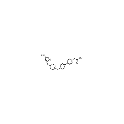 CC(C)C(=O)Cc1ccc(-c2ccc(CN3CCC(Cn4cc(C(C)C)cn4)CC3)cc2)cc1